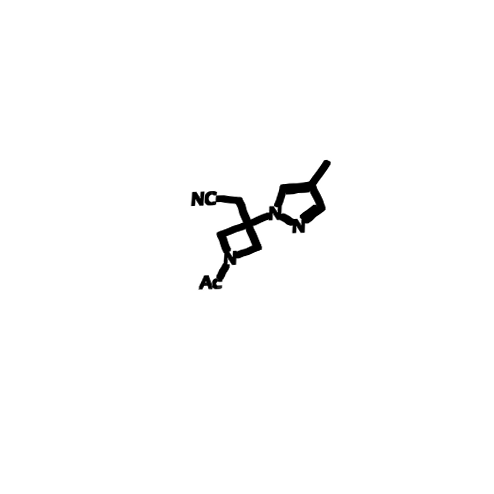 CC(=O)N1CC(CC#N)(n2cc(C)cn2)C1